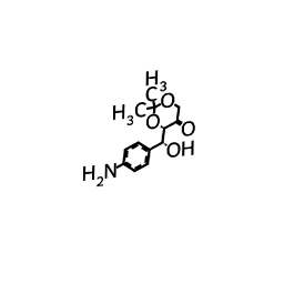 CC1(C)OCC(=O)[C@H]([C@H](O)c2ccc(N)cc2)O1